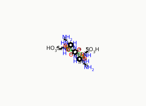 NCCNc1ccc(NC2=C(Cl)C(=O)C(Nc3ccc(NCCN)c(S(=O)(=O)NCCS(=O)(=O)O)c3)=C(Cl)C2=O)cc1S(=O)(=O)NCCS(=O)(=O)O